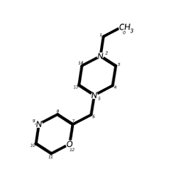 CCN1CCN(CC2C[N]CCO2)CC1